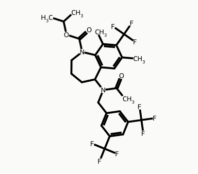 CC(=O)N(Cc1cc(C(F)(F)F)cc(C(F)(F)F)c1)C1CCCN(C(=O)OC(C)C)c2c1cc(C)c(C(F)(F)F)c2C